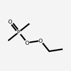 CCOOP(C)(C)=O